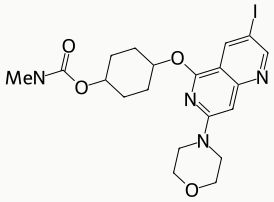 CNC(=O)OC1CCC(Oc2nc(N3CCOCC3)cc3ncc(I)cc23)CC1